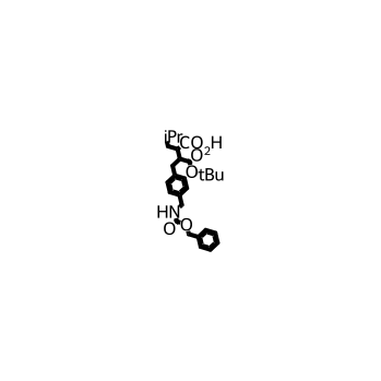 CC(C)CC(C(=O)O)C(Cc1ccc(CNC(=O)OCc2ccccc2)cc1)C(=O)OC(C)(C)C